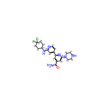 NC(=O)c1cc(-c2ccnc(NC3CCC(F)(F)CC3)c2)nc(N2CCNCC2)c1